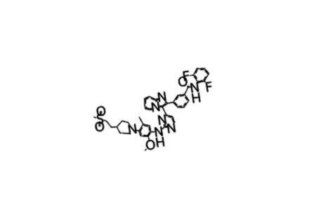 COc1cc(N2CCC(CCS(C)(=O)=O)CC2)c(C)cc1Nc1nccc(-c2c(-c3cccc(C(=O)Nc4c(F)cccc4F)c3)nc3ccccn23)n1